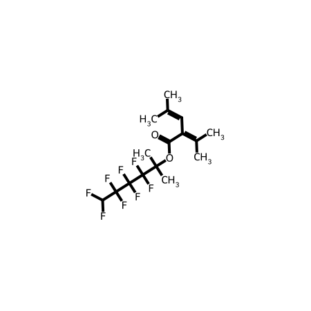 CC(C)=CC(C(=O)OC(C)(C)C(F)(F)C(F)(F)C(F)(F)C(F)F)=C(C)C